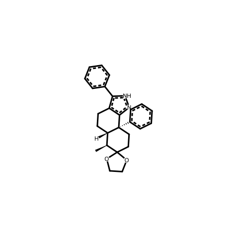 C[C@H]1[C@@H]2CCc3c(n[nH]c3-c3ccccc3)[C@@]2(c2ccccc2)CCC12OCCO2